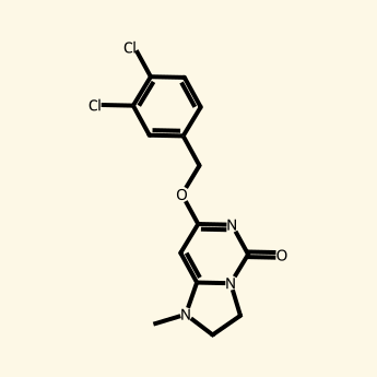 CN1CCn2c1cc(OCc1ccc(Cl)c(Cl)c1)nc2=O